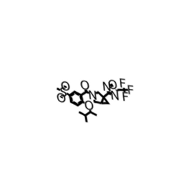 CC(C)C(C)Oc1ccc(S(C)(=O)=O)cc1C(=O)N1CC2CC2(c2noc(C(F)(F)F)n2)C1